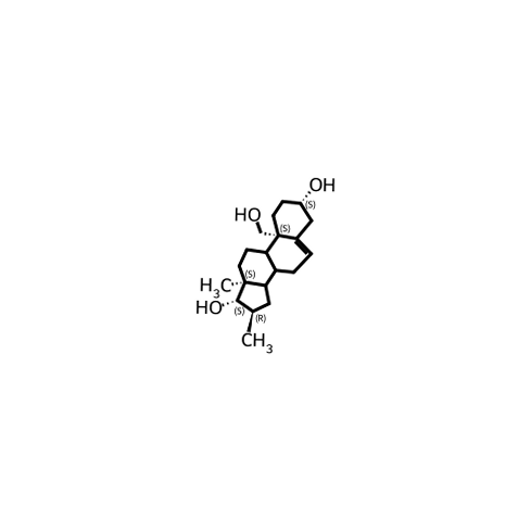 C[C@@H]1CC2C3CC=C4C[C@@H](O)CC[C@]4(CO)C3CC[C@]2(C)[C@H]1O